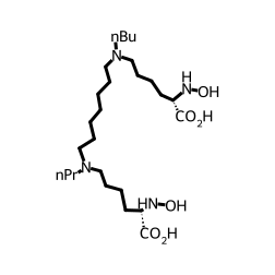 CCCCN(CCCCCCCN(CCC)CCCC[C@H](NO)C(=O)O)CCCC[C@H](NO)C(=O)O